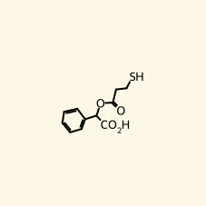 O=C(CCS)OC(C(=O)O)c1ccccc1